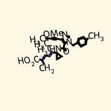 C=C/C(=C\C=C(/C)C1(NC(=O)c2c(C#CC(C)(C)OC)ncn2Cc2ccc(C)cc2)CC1)C(=O)O